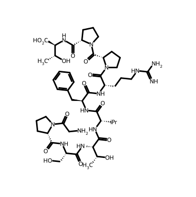 CC(C)[C@H](NC(=O)[C@@H](NC(=O)[C@H](CO)NC(=O)[C@@H]1CCCN1C(=O)CN)[C@@H](C)O)C(=O)N[C@@H](Cc1ccccc1)C(=O)N[C@@H](CCCNC(=N)N)C(=O)N1CCC[C@H]1C(=O)N1CCC[C@H]1C(=O)N[C@H](C(=O)O)[C@@H](C)O